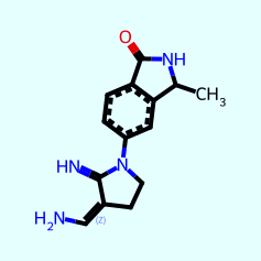 CC1NC(=O)c2ccc(N3CC/C(=C/N)C3=N)cc21